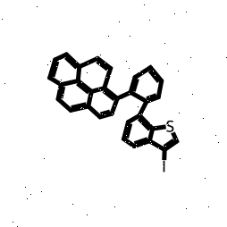 Ic1csc2c(-c3ccccc3-c3ccc4ccc5cccc6ccc3c4c56)cccc12